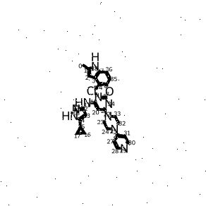 Cc1cc2c(Cl)c(Oc3nc(Nc4cc(C5CC5)[nH]n4)cc(N4CCN(c5ccncc5)CC4)n3)ccc2[nH]1